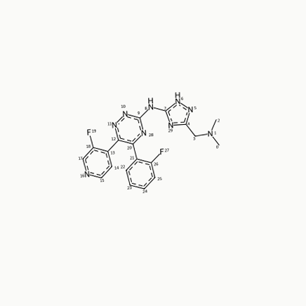 CN(C)Cc1n[nH]c(Nc2nnc(-c3ccncc3F)c(-c3ccccc3F)n2)n1